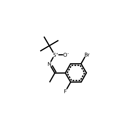 C/C(=N/[S+]([O-])C(C)(C)C)c1cc(Br)ccc1F